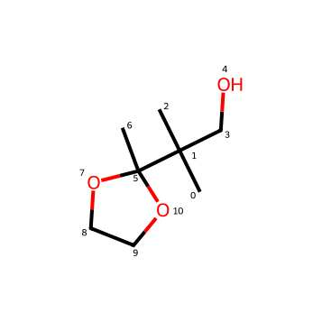 CC(C)(CO)C1(C)OCCO1